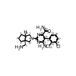 NC[C@@]12CCC[C@@H]1CN(c1nc(N)c(-c3cccc(Cl)c3Cl)c(C(N)=O)n1)C2